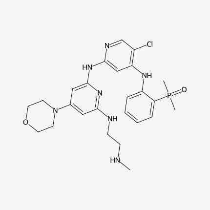 CNCCNc1cc(N2CCOCC2)cc(Nc2cc(Nc3ccccc3P(C)(C)=O)c(Cl)cn2)n1